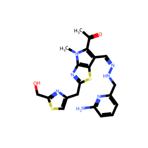 CC(=O)c1c(/C=N\NCc2cccc(N)n2)c2sc(Cc3csc(CO)n3)nc2n1C